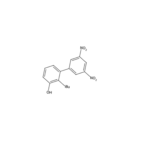 CCC(C)c1c(O)cccc1-c1cc([N+](=O)[O-])cc([N+](=O)[O-])c1